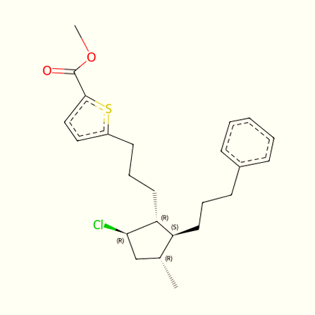 COC(=O)c1ccc(CCC[C@@H]2[C@@H](CCCc3ccccc3)[C@H](C)C[C@H]2Cl)s1